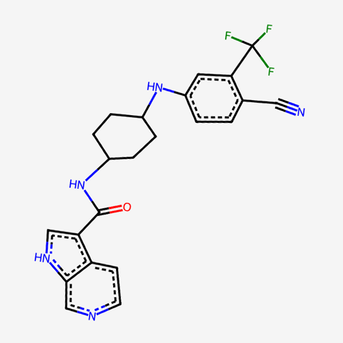 N#Cc1ccc(NC2CCC(NC(=O)c3c[nH]c4cnccc34)CC2)cc1C(F)(F)F